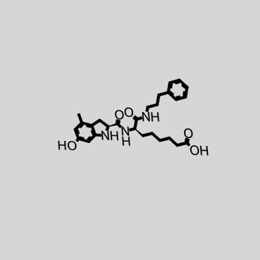 Cc1cc(O)cc2c1C[C@@H](C(=O)N[C@H](CCCCCC(=O)O)C(=O)NCCCc1ccccc1)N2